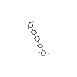 Cc1ccc(C)c(-c2ccc(-c3ccc(-c4ccc(-c5cc(C)ccc5C)cc4)cc3)cc2)c1